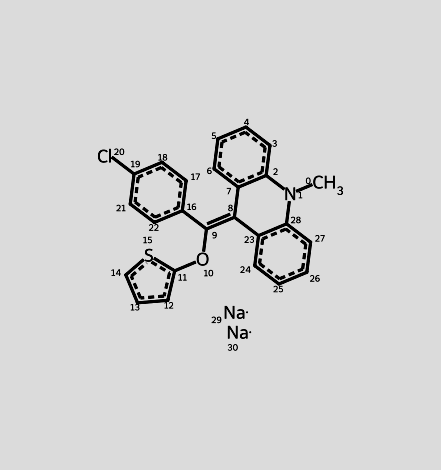 CN1c2ccccc2C(=C(Oc2cccs2)c2ccc(Cl)cc2)c2ccccc21.[Na].[Na]